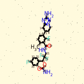 Cc1ccc(-c2ccn3nc(N)nc3c2)c(F)c1C(=O)NCC(F)(F)[C@@H](OC(N)=O)c1ccc(F)cc1